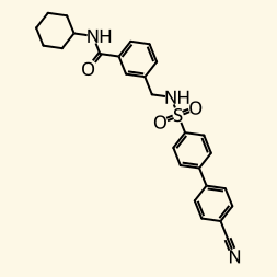 N#Cc1ccc(-c2ccc(S(=O)(=O)NCc3cccc(C(=O)NC4CCCCC4)c3)cc2)cc1